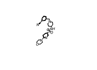 N#Cc1cccc(CN2CCC(NS(=O)(=O)c3ccc(N4CCOCC4)nc3)CC2)c1